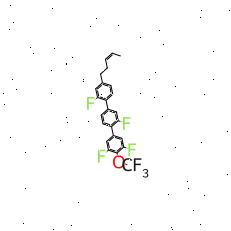 C/C=C\CCc1ccc(-c2ccc(-c3cc(F)c(OC(F)(F)F)c(F)c3)c(F)c2)c(F)c1